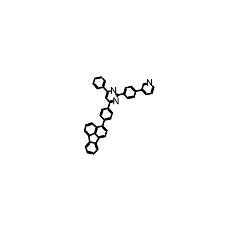 c1ccc(-c2cc(-c3ccc(-c4ccc5c6c(cccc46)-c4ccccc4-5)cc3)nc(-c3ccc(-c4cccnc4)cc3)n2)cc1